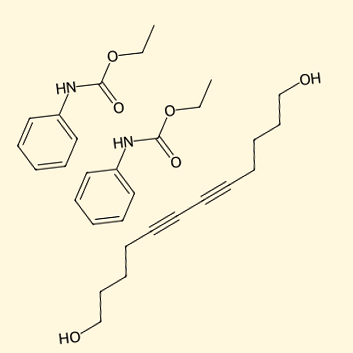 CCOC(=O)Nc1ccccc1.CCOC(=O)Nc1ccccc1.OCCCCC#CC#CCCCCO